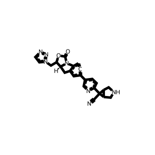 N#CC1(c2ccc(-c3ccc4c(c3)C[C@H]3C(Cn5ccnn5)OC(=O)N43)cn2)C2CNCC21